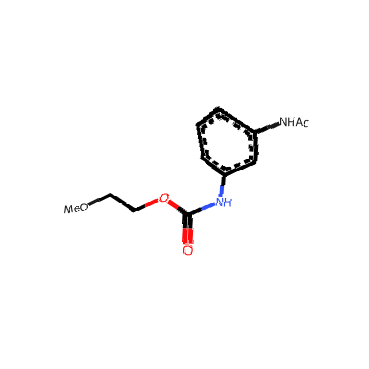 COCCOC(=O)Nc1cccc(NC(C)=O)c1